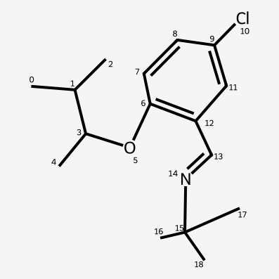 CC(C)C(C)Oc1ccc(Cl)cc1C=NC(C)(C)C